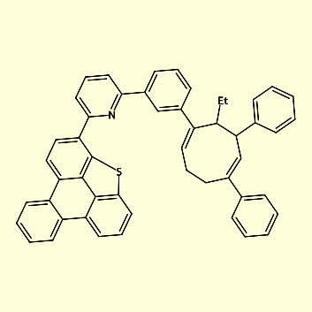 CCC1/C(c2cccc(-c3cccc(-c4ccc5c6ccccc6c6cccc7sc4c5c76)n3)c2)=C\CC/C(c2ccccc2)=C\C1c1ccccc1